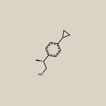 C[C@H](CO)c1ccc(C2CC2)cc1